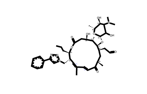 CCC[C@H]1OC(=O)C[C@@H](O)[C@H](C)[C@@H](O[C@@H]2O[C@H](C)[C@@H](O)C(N(C)C)C2O)[C@@H](CC=O)C[C@@H](C)C(=O)/C=C/C(C)=C/[C@@H]1Cn1cc(-c2ccccc2)nn1